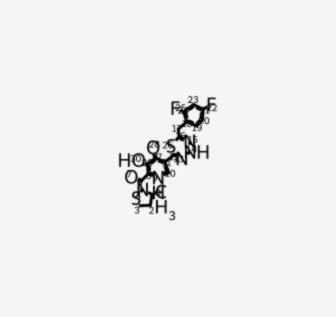 C[C@H]1CCSN1C(=O)c1[nH]cc(C2=NNN=C(Cc3ccc(F)cc3F)S2)c(=O)c1O